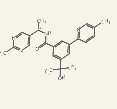 Cc1ccc(-c2cc(C(=O)N[C@H](C)c3cnc(C(F)(F)F)nc3)cc(C(O)(C(F)(F)F)C(F)(F)F)c2)nc1